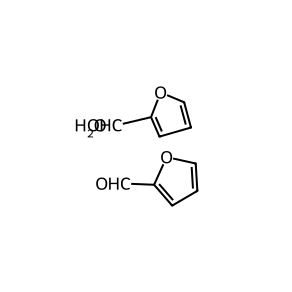 O.O=Cc1ccco1.O=Cc1ccco1